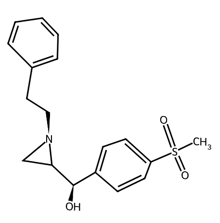 CS(=O)(=O)c1ccc([C@@H](O)C2C[N@@]2CCc2ccccc2)cc1